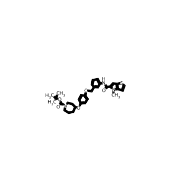 Cn1c(C(=O)Nc2cccc(COc3ccc(OC4CCCN(C(=O)OC(C)(C)C)CC4)cc3)c2)cc2sccc21